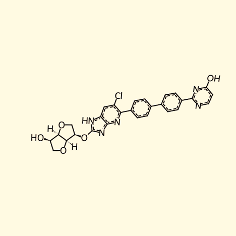 Oc1ccnc(-c2ccc(-c3ccc(-c4nc5nc(O[C@@H]6CO[C@H]7[C@@H]6OC[C@H]7O)[nH]c5cc4Cl)cc3)cc2)n1